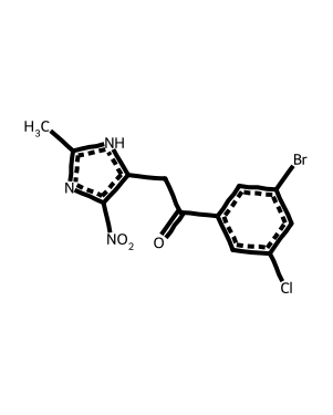 Cc1nc([N+](=O)[O-])c(CC(=O)c2cc(Cl)cc(Br)c2)[nH]1